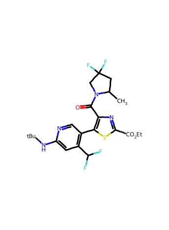 CCOC(=O)c1nc(C(=O)N2CC(F)(F)CC2C)c(-c2cnc(NC(C)(C)C)cc2C(F)F)s1